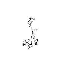 CCN(C(=O)c1cc(F)ccc1Oc1nncnc1N1CCC2(C1)CN(C(CCCN(C)CC(C)C(=O)NC)C(C)C)C2)C(C)C